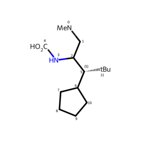 CNCC(NC(=O)O)[C@@H](C1CCCC1)C(C)(C)C